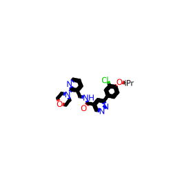 CC(C)Oc1ccc(-c2cc(C(=O)NCc3cccnc3N3CCOCC3)cnn2)cc1Cl